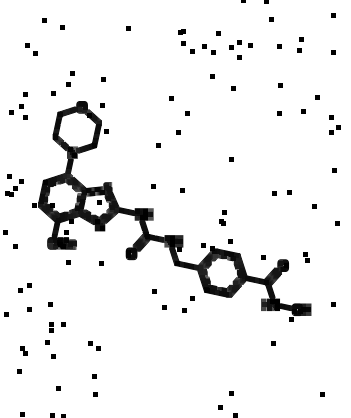 COc1ccc(N2CCOCC2)c2sc(NC(=O)NCc3ccc(C(=O)NO)cc3)nc12